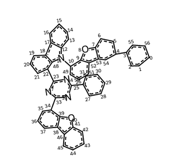 c1ccc(-c2ccc3oc4c(-n5c6ccccc6c6cccc(-c7nc(-c8ccccc8)nc(-c8cccc9c8oc8ccccc89)n7)c65)cccc4c3c2)cc1